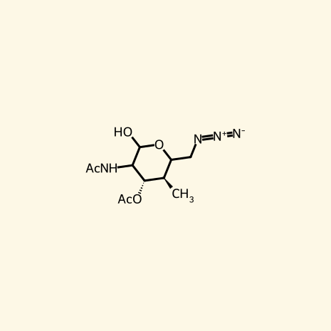 CC(=O)NC1C(O)OC(CN=[N+]=[N-])[C@@H](C)[C@@H]1OC(C)=O